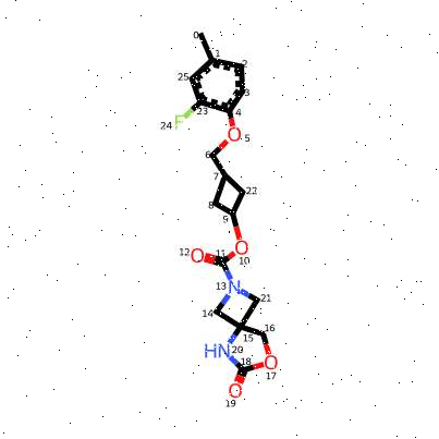 Cc1ccc(OCC2CC(OC(=O)N3CC4(COC(=O)N4)C3)C2)c(F)c1